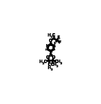 C[C@H](Oc1ccc(B2OC(C)(C)C(C)(C)O2)cn1)C(F)(F)F